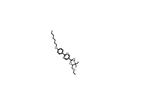 CCCCCCCOc1ccc(-c2ncc(C(=O)OC(COCC)C(F)(F)F)cn2)cc1